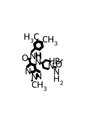 Br.CCn1ncc2c(NC3CCN(C(N)=O)CC3)c(C(=O)NCc3ccc(C)c(C)c3)cnc21